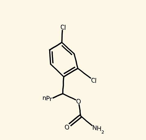 CCCC(OC(N)=O)c1ccc(Cl)cc1Cl